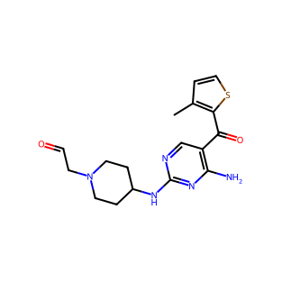 Cc1ccsc1C(=O)c1cnc(NC2CCN(CC=O)CC2)nc1N